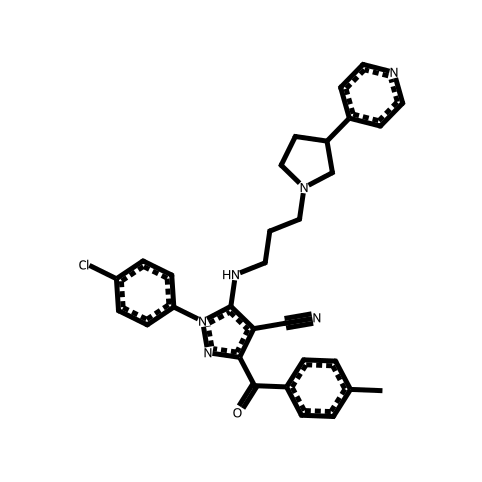 Cc1ccc(C(=O)c2nn(-c3ccc(Cl)cc3)c(NCCCN3CCC(c4ccncc4)C3)c2C#N)cc1